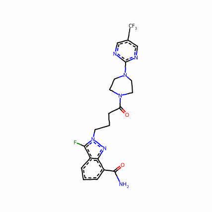 NC(=O)c1cccc2c(F)n(CCCC(=O)N3CCN(c4ncc(C(F)(F)F)cn4)CC3)nc12